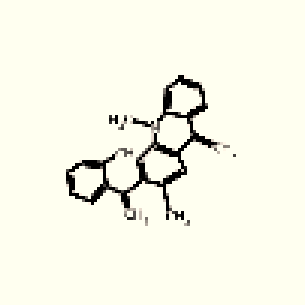 C=C(c1ccccc1C)c1cc2c(cc1C)C(=C)c1ccccc1N2C